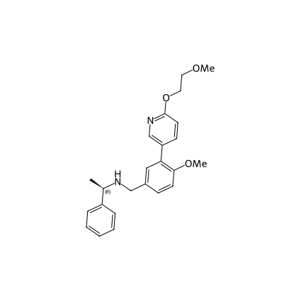 COCCOc1ccc(-c2cc(CN[C@H](C)c3ccccc3)ccc2OC)cn1